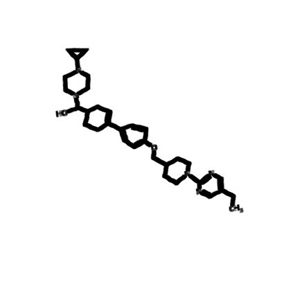 CCc1cnc(N2CCC(COc3ccc(C4=CCC(C(O)N5CCN(C6CC6)CC5)CC4)cc3)CC2)nc1